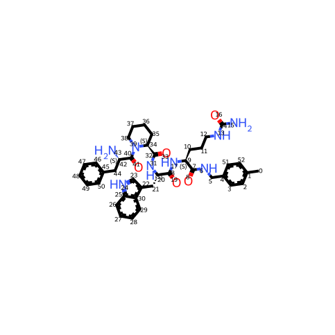 Cc1ccc(CNC(=O)[C@H](CCCNC(N)=O)NC(=O)[C@H](Cc2c[nH]c3ccccc23)NC(=O)[C@@H]2CCCCN2C(=O)[C@@H](N)Cc2ccccc2)cc1